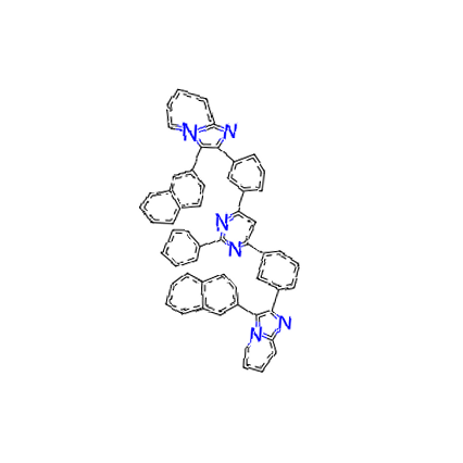 c1ccc(-c2nc(-c3cccc(-c4nc5ccccn5c4-c4ccc5ccccc5c4)c3)cc(-c3cccc(-c4nc5ccccn5c4-c4ccc5ccccc5c4)c3)n2)cc1